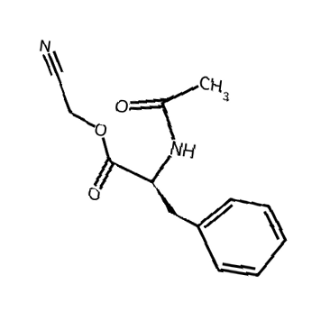 CC(=O)N[C@@H](Cc1ccccc1)C(=O)OCC#N